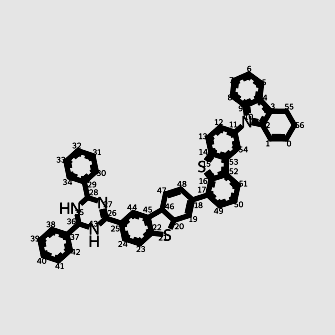 C1=Cc2c(c3ccccc3n2-c2ccc3sc4c(C5=CC6Sc7ccc(C8=NC(c9ccccc9)NC(c9ccccc9)N8)cc7C6C=C5)cccc4c3c2)CC1